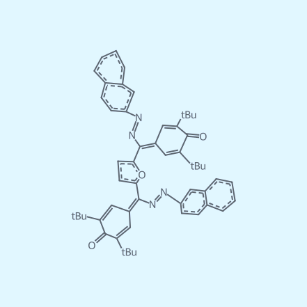 CC(C)(C)C1=CC(=C(/N=N/c2ccc3ccccc3c2)c2ccc(C(/N=N/c3ccc4ccccc4c3)=C3C=C(C(C)(C)C)C(=O)C(C(C)(C)C)=C3)o2)C=C(C(C)(C)C)C1=O